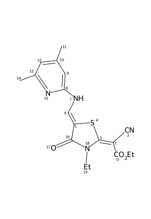 CCOC(=O)C(C#N)=c1sc(=CNc2cc(C)cc(C)n2)c(=O)n1CC